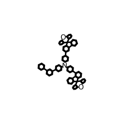 c1ccc(-c2cccc(-c3ccc(N(c4ccc(-c5ccc6c(c5)-c5ccccc5C65c6ccccc6Oc6ccccc65)cc4)c4ccc(-c5cccc6c5-c5ccccc5C65c6ccccc6Oc6ccccc65)cc4)cc3)c2)cc1